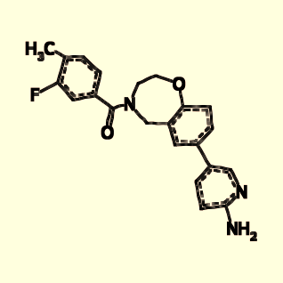 Cc1ccc(C(=O)N2CCOc3ccc(-c4ccc(N)nc4)cc3C2)cc1F